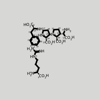 N=C(N)NCCC[C@H](N)C(=O)O.NCC(=O)O.N[C@@H](Cc1ccccc1)C(=O)O.O=C(O)[C@@H]1CCCN1.O=C(O)[C@@H]1CCCN1